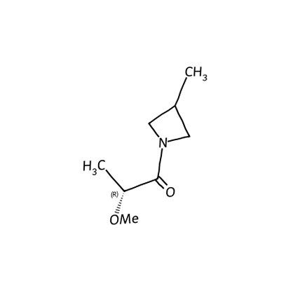 CO[C@H](C)C(=O)N1CC(C)C1